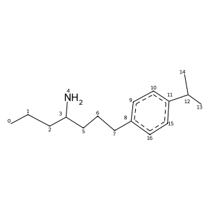 CCCC(N)CCCc1ccc(C(C)C)cc1